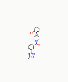 COc1ccccc1N1CCN(C(=O)c2cccc(-c3noc(C)n3)c2)CC1